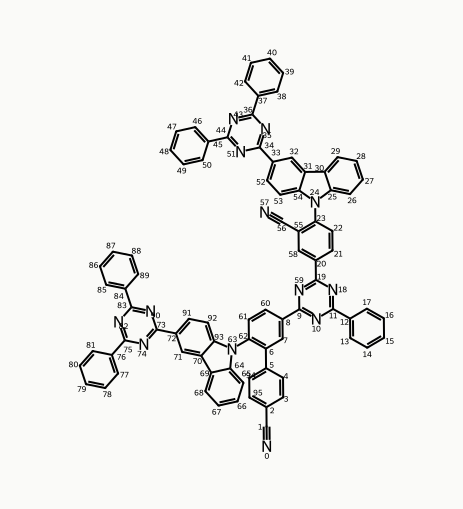 N#Cc1ccc(-c2cc(-c3nc(-c4ccccc4)nc(-c4ccc(-n5c6ccccc6c6cc(-c7nc(-c8ccccc8)nc(-c8ccccc8)n7)ccc65)c(C#N)c4)n3)ccc2-n2c3ccccc3c3cc(-c4nc(-c5ccccc5)nc(-c5ccccc5)n4)ccc32)cc1